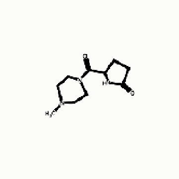 CN1CCN(C(=O)C2CCC(=O)N2)CC1